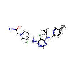 NC(=O)CN1CC[C@H](CNc2ncnc(N(Cc3ccc(C(F)(F)F)cn3)C3CC3)c2F)[C@@H](F)C1